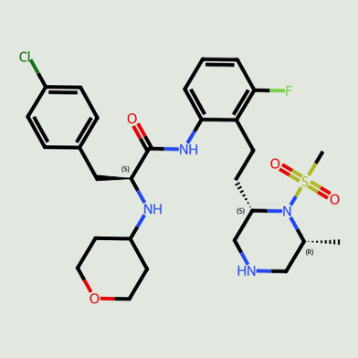 C[C@@H]1CNC[C@H](CCc2c(F)cccc2NC(=O)[C@H](Cc2ccc(Cl)cc2)NC2CCOCC2)N1S(C)(=O)=O